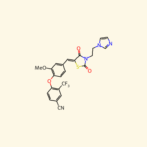 COc1cc(/C=C2\SC(=O)N(CCn3ccnc3)C2=O)ccc1Oc1ccc(C#N)cc1C(F)(F)F